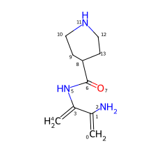 C=C(N)C(=C)NC(=O)C1CCNCC1